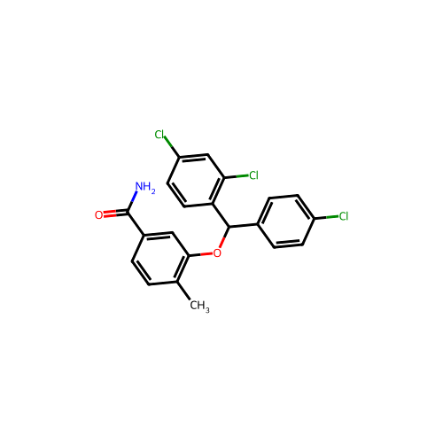 Cc1ccc(C(N)=O)cc1OC(c1ccc(Cl)cc1)c1ccc(Cl)cc1Cl